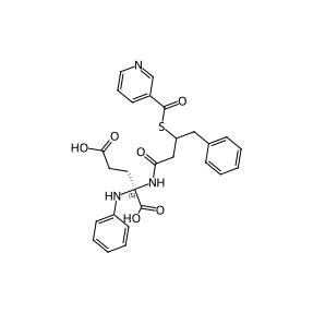 O=C(O)CC[C@@](NC(=O)CC(Cc1ccccc1)SC(=O)c1cccnc1)(Nc1ccccc1)C(=O)O